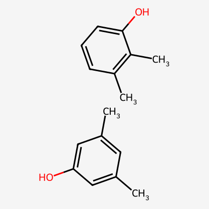 Cc1cc(C)cc(O)c1.Cc1cccc(O)c1C